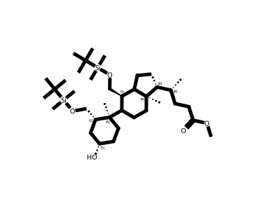 COC(=O)CC[C@@H](C)[C@H]1CCC2[C@H](CO[Si](C)(C)C(C)(C)C)C([C@@]3(C)CC[C@H](O)C[C@@H]3CO[Si](C)(C)C(C)(C)C)CC[C@@]21C